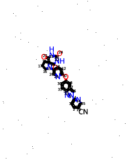 N#Cc1ccc(-n2cc3cc(Oc4ccc(N5CCCC56C(=O)NC(=O)NC6=O)cn4)ccc3n2)nc1